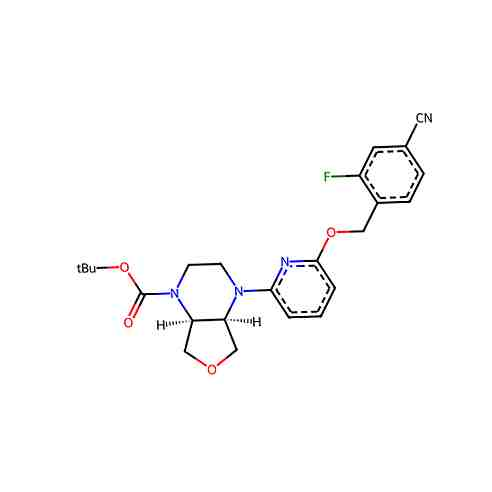 CC(C)(C)OC(=O)N1CCN(c2cccc(OCc3ccc(C#N)cc3F)n2)[C@H]2COC[C@H]21